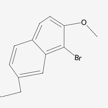 COc1ccc2ccc(CBr)cc2c1Br